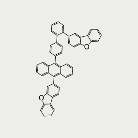 c1ccc(-c2ccc3oc4ccccc4c3c2)c(-c2ccc(-c3c4ccccc4c(-c4ccc5c(c4)oc4ccccc45)c4ccccc34)cc2)c1